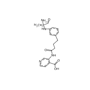 C[C@@](N)(C=O)Nc1cccc(CCCC(=O)Nc2cnccc2C(=O)O)c1